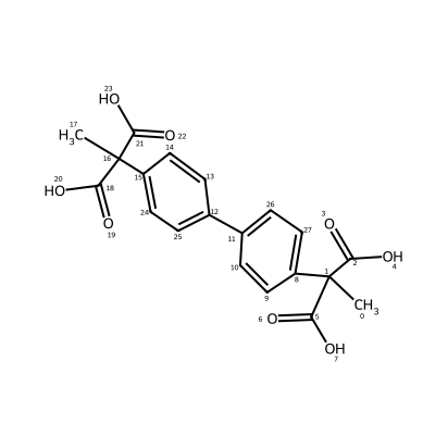 CC(C(=O)O)(C(=O)O)c1ccc(-c2ccc(C(C)(C(=O)O)C(=O)O)cc2)cc1